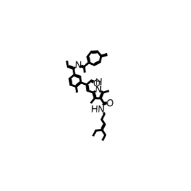 C=C1C=CC=C(/C(C)=N/C(=C\C)c2ccc(C)c(/C(C=O)=C/c3[nH]c(C)c(C(=O)NCCC=C(CC)CC)c3C)c2)C=C1